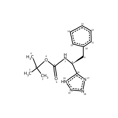 CC(C)(C)OC(=O)N[C@@H](Cc1ccccc1)c1nnn[nH]1